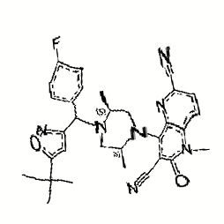 C[C@H]1CN(C(c2ccc(F)cc2)c2cc(C(C)(C)C)on2)[C@@H](C)CN1c1c(C#N)c(=O)n(C)c2ccc(C#N)nc12